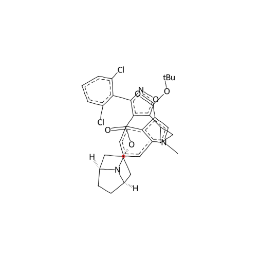 Cn1cc(C(=O)OC(C)(C)C)c2ccc(N3[C@@H]4CC[C@H]3C[C@H](OC(=O)c3c(-c5c(Cl)cccc5Cl)noc3C3CC3)C4)cc21